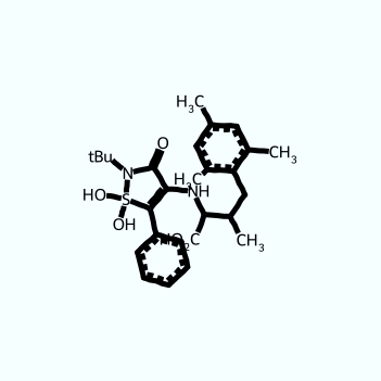 Cc1cc(C)c(CC(C)C(NC2=C(c3ccccc3)S(O)(O)N(C(C)(C)C)C2=O)C(=O)O)c(C)c1